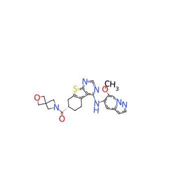 COc1cn2nccc2cc1Nc1ncnc2sc3c(c12)CC[C@H](C(=O)N1CC2(COC2)C1)C3